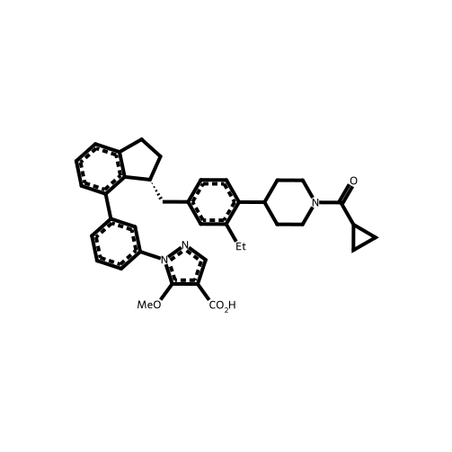 CCc1cc(C[C@H]2CCc3cccc(-c4cccc(-n5ncc(C(=O)O)c5OC)c4)c32)ccc1C1CCN(C(=O)C2CC2)CC1